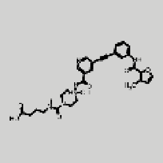 Cc1ccoc1C(=O)Nc1cccc(C#Cc2cncc(C(=O)N=[SH]3(O)CCN(C(=O)NCCCC(=O)O)CC3)c2)c1